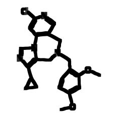 COc1ccc(CN2Cc3cnc(Cl)cc3-n3cnc(C4CC4)c3C2)c(OC)c1